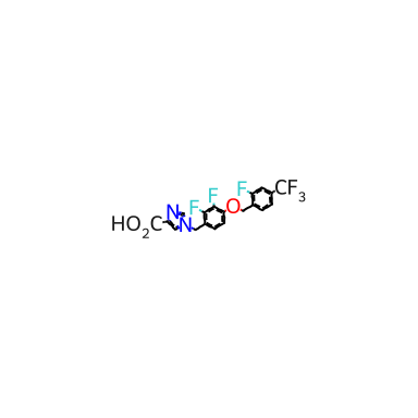 O=C(O)c1cn(Cc2ccc(OCc3ccc(C(F)(F)F)cc3F)c(F)c2F)cn1